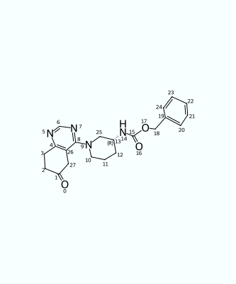 O=C1CCc2ncnc(N3CCC[C@@H](NC(=O)OCc4ccccc4)C3)c2C1